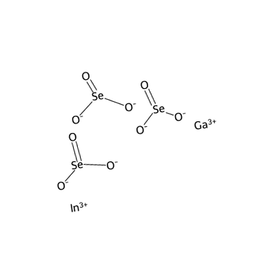 O=[Se]([O-])[O-].O=[Se]([O-])[O-].O=[Se]([O-])[O-].[Ga+3].[In+3]